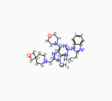 CCc1nc2ccccc2n1-c1nc(N2CCOCC2)c2nc(CN3CCC4(CC3)COC4)n(C)c2n1